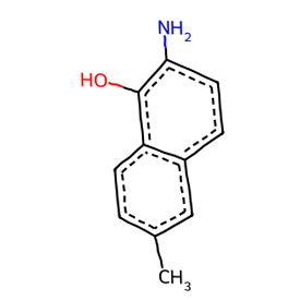 Cc1ccc2c(O)c(N)ccc2c1